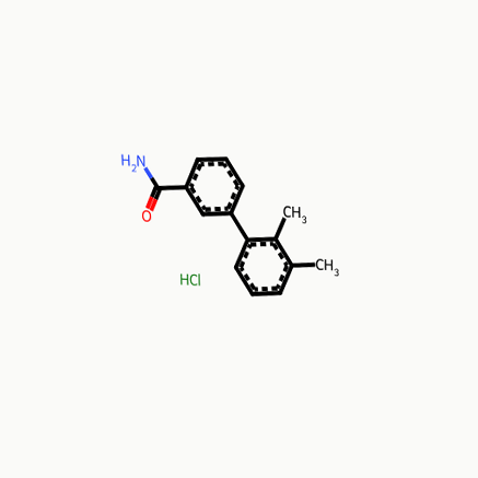 Cc1cccc(-c2cccc(C(N)=O)c2)c1C.Cl